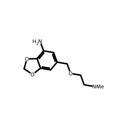 CNCCOCc1cc(N)c2c(c1)OCO2